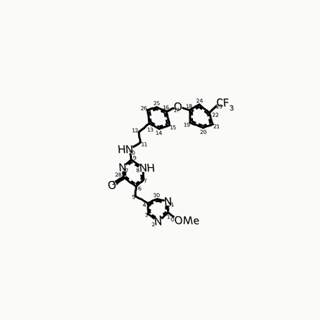 COc1ncc(Cc2c[nH]c(NCCc3ccc(Oc4cccc(C(F)(F)F)c4)cc3)nc2=O)cn1